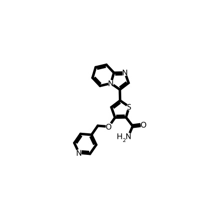 NC(=O)c1sc(-c2cnc3ccccn23)cc1OCc1ccncc1